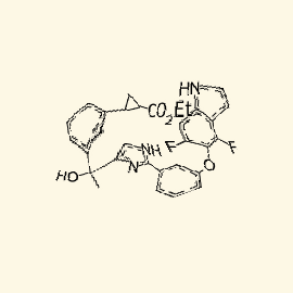 CCOC(=O)C1CC1c1cccc(C(C)(O)c2c[nH]c(-c3cccc(Oc4c(F)cc5[nH]ccc5c4F)c3)n2)c1